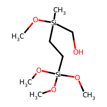 CO[Si](C)(CO)CC[Si](OC)(OC)OC